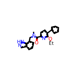 CCOc1nc(C(=O)N(C)Cc2cccc3cn[nH]c23)ccc1-c1ccccc1